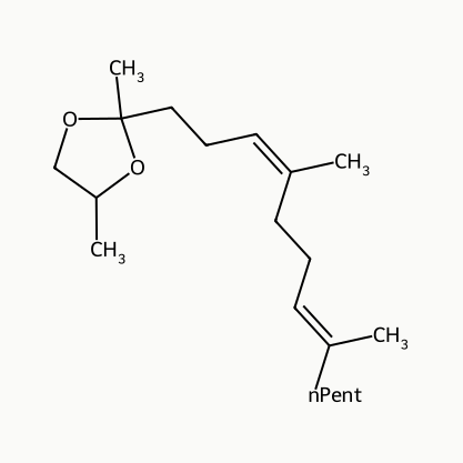 CCCCCC(C)=CCCC(C)=CCCC1(C)OCC(C)O1